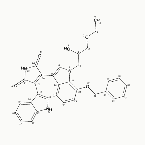 CCOCC(O)Cn1cc(C2=C(c3c[nH]c4ccccc34)C(=O)NC2=O)c2cccc(OCc3ccccc3)c21